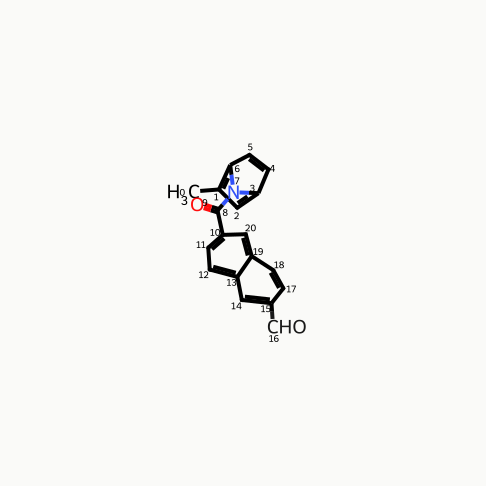 Cc1cc2ccc1n2C(=O)c1ccc2cc(C=O)ccc2c1